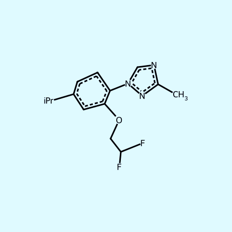 Cc1ncn(-c2ccc(C(C)C)cc2OCC(F)F)n1